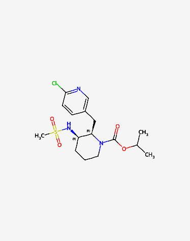 CC(C)OC(=O)N1CCC[C@@H](NS(C)(=O)=O)[C@H]1Cc1ccc(Cl)nc1